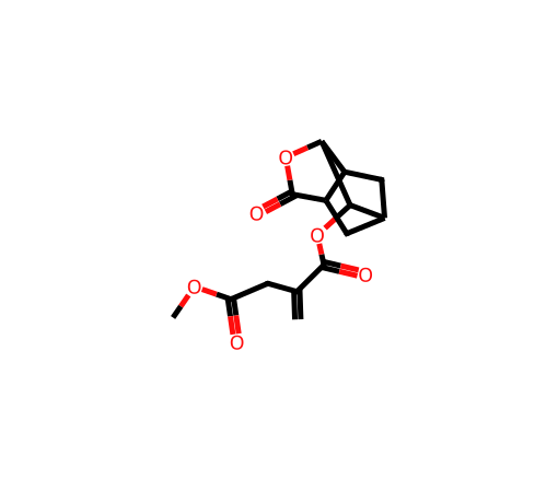 C=C(CC(=O)OC)C(=O)OC1C2CC3C(=O)OC1C3C2